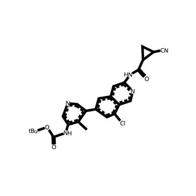 Cc1c(NC(=O)OC(C)(C)C)cncc1-c1cc(Cl)c2cnc(NC(=O)C3CC3C#N)cc2c1